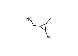 CC(=O)C1C(C)C1CC#N